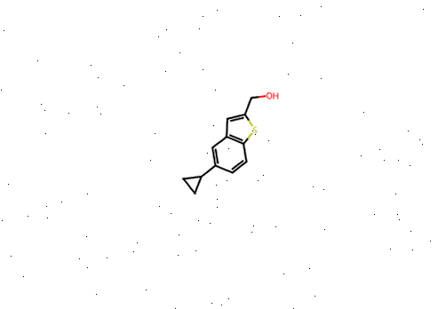 OCc1cc2cc(C3CC3)ccc2s1